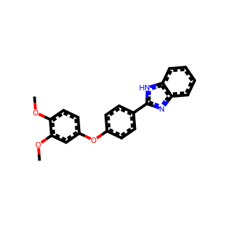 COc1ccc(Oc2ccc(-c3nc4ccccc4[nH]3)cc2)cc1OC